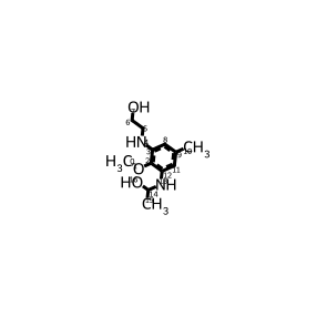 COc1c(NCCO)cc(C)cc1NC(C)O